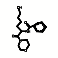 O=C(NC(CCCCO)C(=O)N1CCOCC1)c1ccccc1